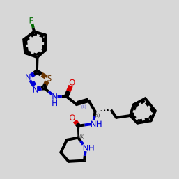 O=C(/C=C/[C@H](CCc1ccccc1)NC(=O)[C@@H]1CCCCN1)Nc1nnc(-c2ccc(F)cc2)s1